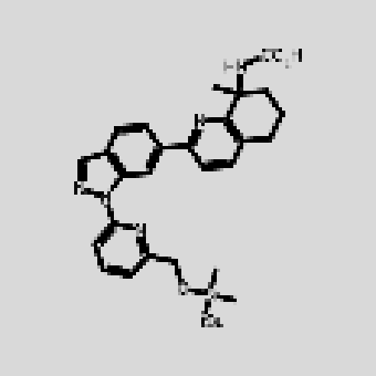 CC1(NC(=O)O)CCCc2ccc(-c3ccc4cnn(-c5cccc(CO[Si](C)(C)C(C)(C)C)n5)c4c3)nc21